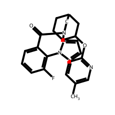 Cc1ccc(OC2CC3CCC2N(C(=O)c2cccc(F)c2-n2nccn2)C3)nc1